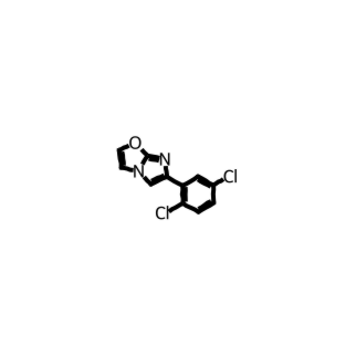 Clc1ccc(Cl)c(-c2cn3ccoc3n2)c1